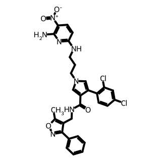 Cc1onc(-c2ccccc2)c1CNC(=O)c1cn(CCCNc2ccc([N+](=O)[O-])c(N)n2)cc1-c1ccc(Cl)cc1Cl